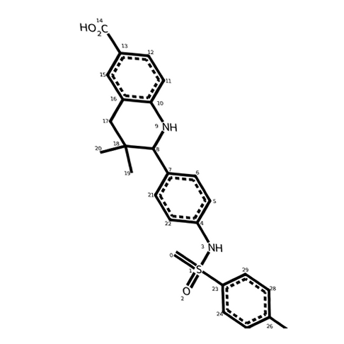 C=S(=O)(Nc1ccc(C2Nc3ccc(C(=O)O)cc3CC2(C)C)cc1)c1ccc(F)cc1